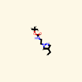 CCc1cnn(CCNC(=O)OC(C)(C)C)c1